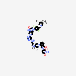 CN(CCCNc1cc(N2CCC3(CC2)CN(c2cc(F)c(CN4CCC(C)(C)CC4)cc2F)CC(=O)N3)ncn1)C1CCN(c2cccc3c2CN(C2CCC(=O)NC2=O)C3=O)CC1